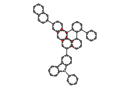 c1ccc(-c2ccccc2-c2c(-c3ccccc3)cccc2N(c2ccc(-c3ccc4ccccc4c3)cc2)c2ccc(-c3ccc4c(c3)c3ccccc3n4-c3ccccc3)cc2)cc1